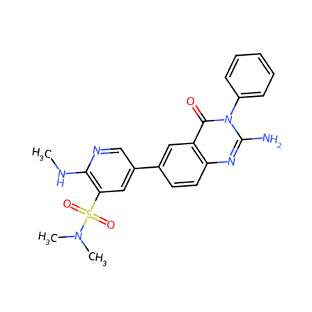 CNc1ncc(-c2ccc3nc(N)n(-c4ccccc4)c(=O)c3c2)cc1S(=O)(=O)N(C)C